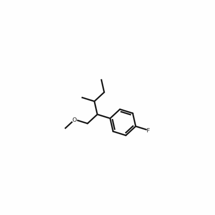 CCC(C)C(COC)c1ccc(F)cc1